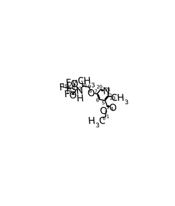 CCOC(=O)c1cc(OC[C@H](C)NS(=O)(=O)C(F)(F)F)cnc1C